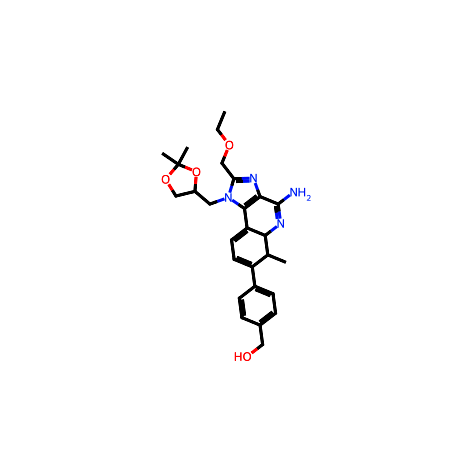 CCOCc1nc2c(n1CC1COC(C)(C)O1)C1=CC=C(c3ccc(CO)cc3)C(C)C1N=C2N